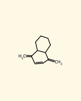 C=C1C=CC(=C)C2CCCCC12